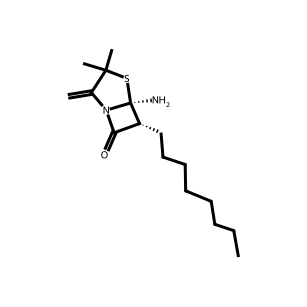 C=C1N2C(=O)[C@@H](CCCCCCCC)[C@]2(N)SC1(C)C